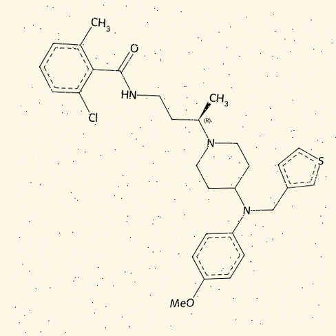 COc1ccc(N(Cc2ccsc2)C2CCN([C@H](C)CCNC(=O)c3c(C)cccc3Cl)CC2)cc1